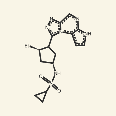 CC[C@@H]1C[C@H](NS(=O)(=O)C2CC2)CC1c1nnc2cnc3[nH]ccc3n12